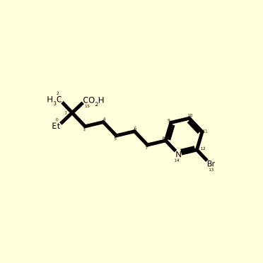 CCC(C)(CCCCCc1cccc(Br)n1)C(=O)O